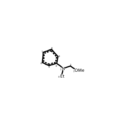 CCN(COC)c1ccccc1